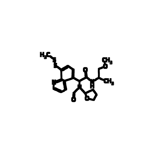 COCC(C)NC(=O)C(c1ccc(SSC)c2ncccc12)N(C=O)C1CCCO1